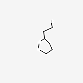 CC(C)CCC1CCCOO1